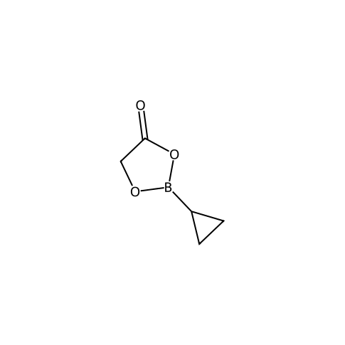 O=C1COB(C2CC2)O1